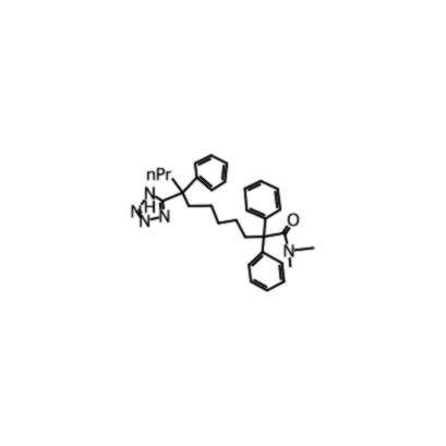 CCCC(CCCCCC(C(=O)N(C)C)(c1ccccc1)c1ccccc1)(c1ccccc1)c1nnn[nH]1